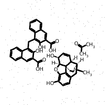 CC(C)=O.CN1CC[C@]23c4c5ccc(O)c4O[C@H]2[C@@H](O)C=C[C@H]3[C@H]1C5.O=C(O)c1cc2ccccc2c(Cc2c(O)c(C(=O)O)cc3ccccc23)c1O